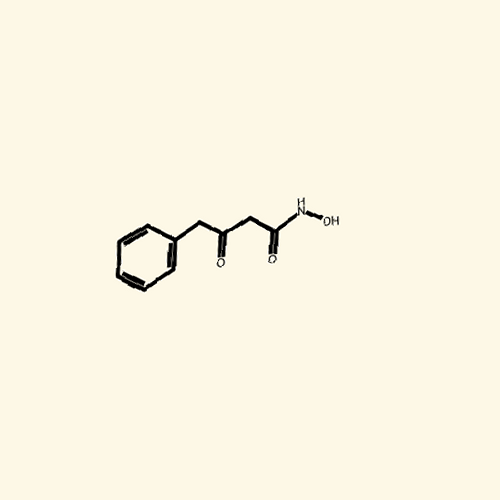 O=C(CC(=O)NO)Cc1ccccc1